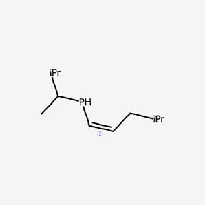 CC(C)C/C=C\PC(C)C(C)C